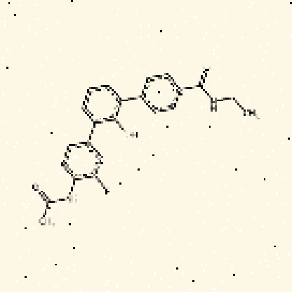 CCNC(=O)c1ccc(-c2cccc(-c3ccc(NC(C)=O)c(F)c3)c2O)cc1